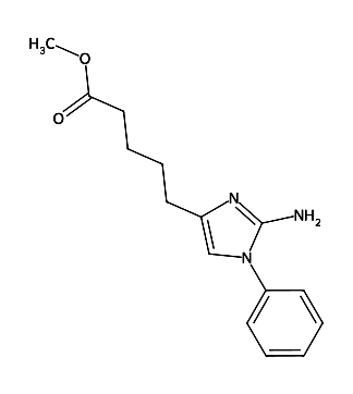 COC(=O)CCCCc1cn(-c2ccccc2)c(N)n1